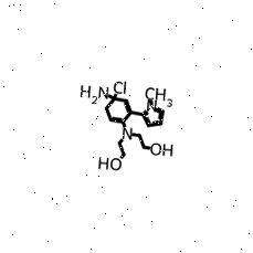 Cn1cccc1C1=CC(N)(Cl)CC=C1N(CCO)CCO